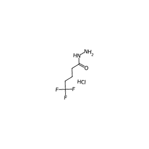 Cl.NNC(=O)CCCC(F)(F)F